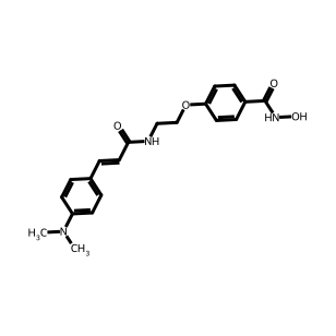 CN(C)c1ccc(C=CC(=O)NCCOc2ccc(C(=O)NO)cc2)cc1